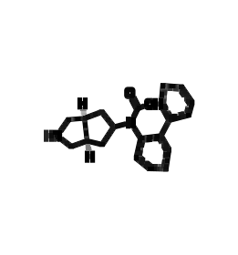 O=C(O)N(c1ccccc1-c1ccccc1)C1C[C@H]2CNC[C@H]2C1